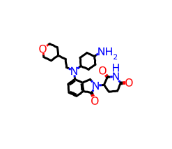 NC1CCC(N(CCC2CCOCC2)c2cccc3c2CN(C2CCC(=O)NC2=O)C3=O)CC1